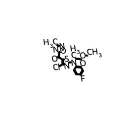 CCOC(=O)C(C)N(c1ccc(F)cc1)c1nc(Cl)c(C(=O)c2nc(C)no2)s1